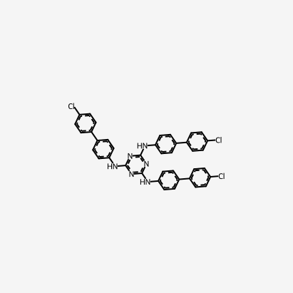 Clc1ccc(-c2ccc(Nc3nc(Nc4ccc(-c5ccc(Cl)cc5)cc4)nc(Nc4ccc(-c5ccc(Cl)cc5)cc4)n3)cc2)cc1